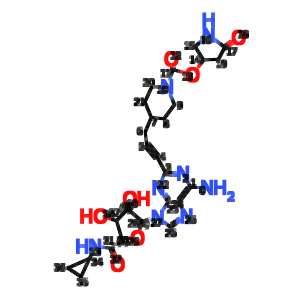 Nc1nc(C#CCC2CCN(C(=O)OC3CNC(=O)C3)CC2)nc2c1ncn2[C@@H]1O[C@H](C(=O)NC2CC2)C(O)[C@@H]1O